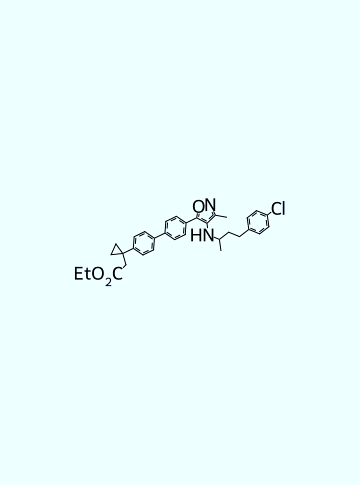 CCOC(=O)CC1(c2ccc(-c3ccc(-c4onc(C)c4NC(C)CCc4ccc(Cl)cc4)cc3)cc2)CC1